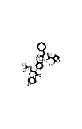 CCC(=O)N[C@H](C)[C@@H](C(=O)N1CCN(C)CC1)c1ccc(NC(=O)[C@@H](NC(=O)c2ccoc2C(C)C)C2CCCCCC2)c(F)c1